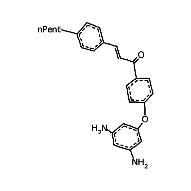 CCCCCc1ccc(C=CC(=O)c2ccc(Oc3cc(N)cc(N)c3)cc2)cc1